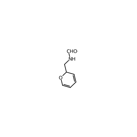 O=[C]NCC1C=CC=CO1